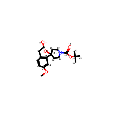 COc1ccc(CCO)c(C2(O)CCN(C(=O)OC(C)(C)C)CC2)c1